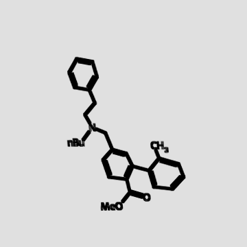 CCCCN(CCc1ccccc1)Cc1ccc(C(=O)OC)c(-c2ccccc2C)c1